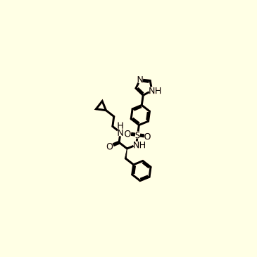 O=C(NCCC1CC1)[C@H](Cc1ccccc1)NS(=O)(=O)c1ccc(-c2cnc[nH]2)cc1